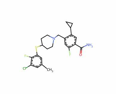 Cc1cc(Cl)c(F)c(SC2CCN(Cc3cc(F)c(C(N)=O)cc3C3CC3)CC2)c1